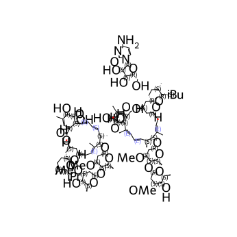 CC[C@H](C)[C@H]1O[C@]2(CC[C@@H]1C)C[C@@H]1C[C@@H](C/C=C(\C)[C@@H](O[C@H]3C[C@H](OC)[C@@H](O[C@H]4C[C@H](OC)[C@@H](O)[C@H](C)O4)[C@H](C)O3)[C@@H](C)/C=C/C=C3\CO[C@@H]4[C@H](O)C(C)=C[C@@H](C(=O)O1)[C@]34O)O2.CO[C@H]1C[C@H](O[C@H]2[C@H](C)O[C@@H](O[C@@H]3/C(C)=C/C[C@@H]4C[C@@H](C[C@]5(CC[C@H](C)[C@@H](C(C)C)O5)O4)OC(=O)[C@@H]4C=C(C)[C@@H](O)[C@H]5OC/C(=C\C=C\[C@@H]3C)[C@]54O)C[C@@H]2OC)O[C@@H](C)[C@@H]1O.Nc1ccn([C@@H]2O[C@H](CO)[C@@H](O)[C@@H]2O)c(=O)n1